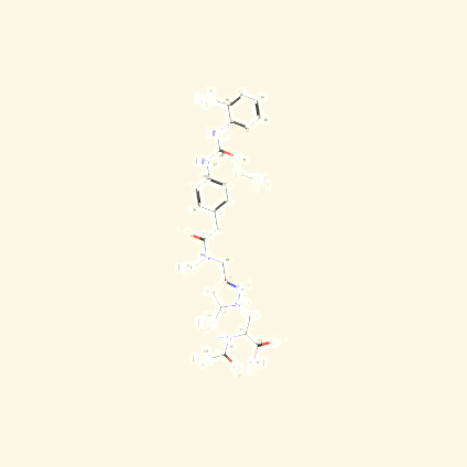 COc1cc(CC(=O)N(C)CC2=NN(CC(NC(C)=O)C(=O)O)C(C)C2)ccc1NC(=O)Nc1ccccc1C